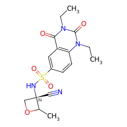 CCn1c(=O)c2cc(S(=O)(=O)N[C@@]3(C#N)COC3C)ccc2n(CC)c1=O